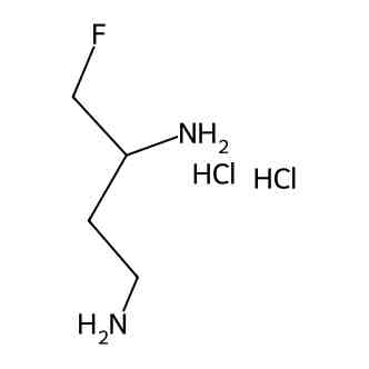 Cl.Cl.NCCC(N)CF